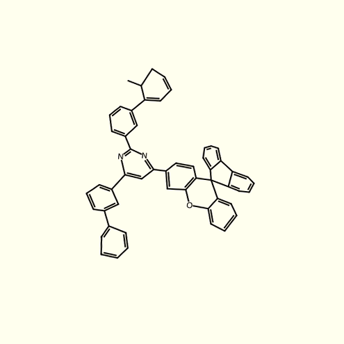 CC1CC=CC=C1c1cccc(-c2nc(-c3cccc(-c4ccccc4)c3)cc(-c3ccc4c(c3)Oc3ccccc3C43c4ccccc4-c4ccccc43)n2)c1